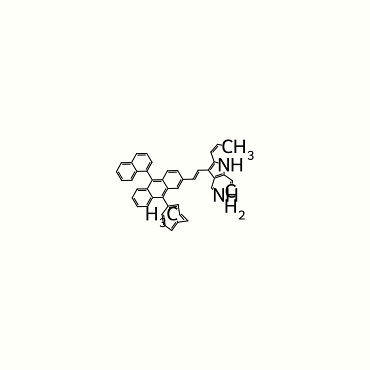 C=Cc1[nH]c(/C=C\C)c(/C=C/c2ccc3c(-c4cccc5ccccc45)c4ccccc4c(C4=C/C=C/C(C)=C/C=C\4)c3c2)c1C=N